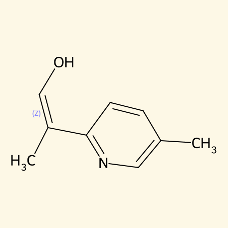 C/C(=C/O)c1ccc(C)cn1